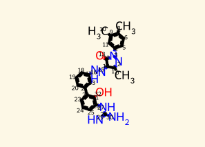 CC1=NN(c2ccc(C)c(C)c2)C(=O)C1=NNc1cccc(-c2cccc(NC(=N)N)c2O)c1